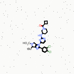 CC(C)(C)C1c2nc(-c3ccc(Cl)c(Cl)c3)n(-c3ccnc(NC4CCCN(C(=O)C5CCC5)C4)n3)c2CN1C(=O)O